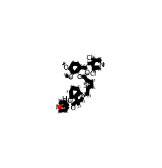 COc1ccc([C@H](Cc2c(Cl)cncc2Cl)OC(=O)c2ccc(CNCC(C)(C(=O)O[C@H]3CN4CCC3CC4)c3ccccc3)s2)cc1OC